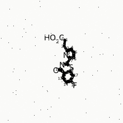 O=C(O)CCc1cccc(-c2nc(=O)c3ccc(F)cc3s2)n1